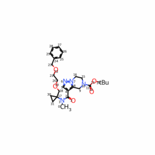 CN(C(=O)c1cnn2c1CN(C(=O)OC(C)(C)C)CC2)C1(COCCOCc2ccccc2)CC1